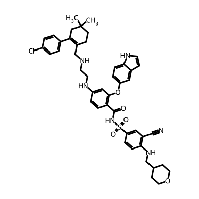 CC1(C)CCC(CNCCNc2ccc(C(=O)NS(=O)(=O)c3ccc(NCC4CCOCC4)c(C#N)c3)c(Oc3ccc4[nH]ccc4c3)c2)=C(c2ccc(Cl)cc2)C1